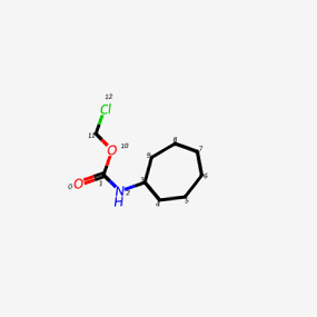 O=C(NC1CCCCCC1)OCCl